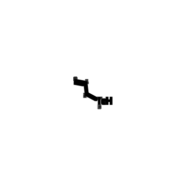 C=CC[TeH]